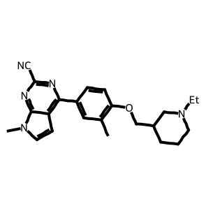 CCN1CCCC(COc2ccc(-c3nc(C#N)nc4c3ccn4C)cc2C)C1